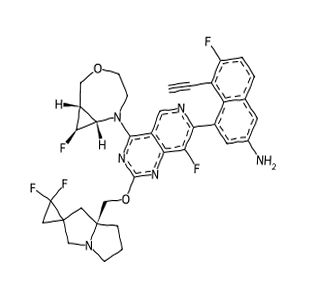 C#Cc1c(F)ccc2cc(N)cc(-c3ncc4c(N5CCOC[C@H]6[C@H](F)[C@H]65)nc(OC[C@@]56CCCN5CC5(CC5(F)F)C6)nc4c3F)c12